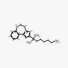 CCCCCCC(C)(C)c1cc2n(n1)CCOc1ccccc1-2